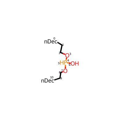 CCCCCCCCCCCCO[PH](C)(O)OCCCCCCCCCCCC